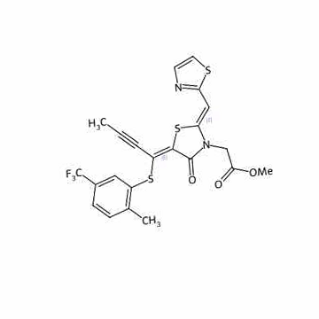 CC#C/C(Sc1cc(C(F)(F)F)ccc1C)=c1\s/c(=C\c2nccs2)n(CC(=O)OC)c1=O